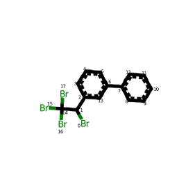 BrC(c1cccc(-c2ccccc2)c1)C(Br)(Br)Br